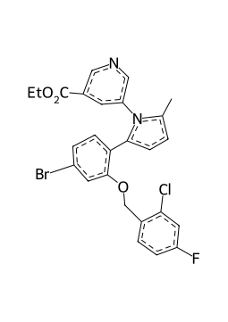 CCOC(=O)c1cncc(-n2c(C)ccc2-c2ccc(Br)cc2OCc2ccc(F)cc2Cl)c1